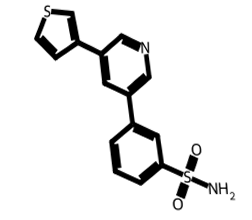 NS(=O)(=O)c1cccc(-c2cncc(-c3ccsc3)c2)c1